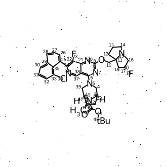 C[C@@H]1C[C@@H]2CN(c3nc(OCC45CCCN4C[C@H](F)C5)nc4c(F)c(-c5cccc6cccc(Cl)c56)ncc34)C[C@H]1N2C(=O)OC(C)(C)C